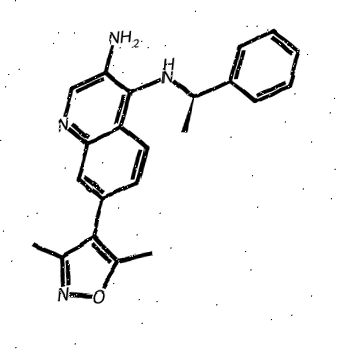 Cc1noc(C)c1-c1ccc2c(N[C@H](C)c3ccccc3)c(N)cnc2c1